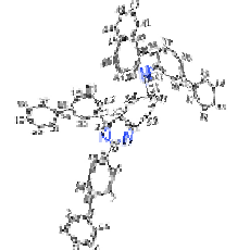 c1ccc(-c2ccc(-c3nc(-c4cccc(-c5ccccc5)c4)c4cc(-n5c6cc(-c7ccccc7)ccc6c6c7ccccc7ccc65)ccc4n3)cc2)cc1